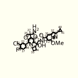 COc1cc(C(=O)NCC(O)(c2cc3c(c(-c4ccc(F)c(Cl)c4)n2)OC[C@]3(C)C(N)=O)C2CCC2)cc2cc(C3CC3)nn12